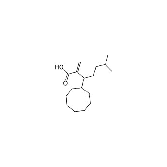 C=C(C(=O)O)C(CCC(C)C)C1CCCCCCC1